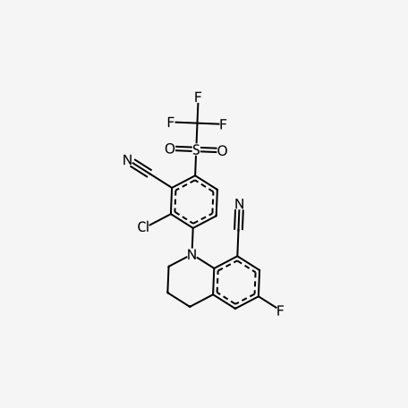 N#Cc1cc(F)cc2c1N(c1ccc(S(=O)(=O)C(F)(F)F)c(C#N)c1Cl)CCC2